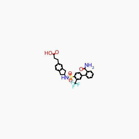 NC(=O)c1ccccc1-c1ccc(S(=O)(=O)NC2Cc3ccc(CCC(=O)O)cc3C2)c(C(F)(F)F)c1